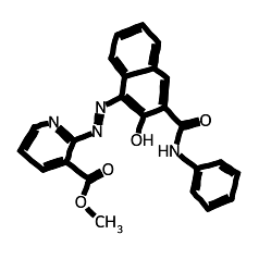 COC(=O)c1cccnc1/N=N/c1c(O)c(C(=O)Nc2ccccc2)cc2ccccc12